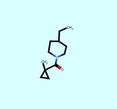 CCC1CCN(C(=O)C2(C)CC2)CC1